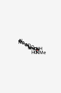 CNC(=O)c1n[nH]c2ccc(NC(=O)[C@@H]3CCN(CC(=O)N4CCC(c5ccc(-c6ncccn6)cc5)CC4)C3)cc12